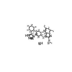 Cc1cc(C)c2nc(C3CC3)n(Cc3ccc(-c4ccccc4-c4nnn[nH]4)nc3)c2n1.[KH]